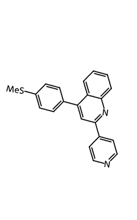 CSc1ccc(-c2cc(-c3ccncc3)nc3ccccc23)cc1